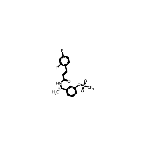 C[C@H](NC(=O)C=Cc1ccc(F)cc1F)c1cccc(OS(=O)(=O)C(F)(F)F)c1